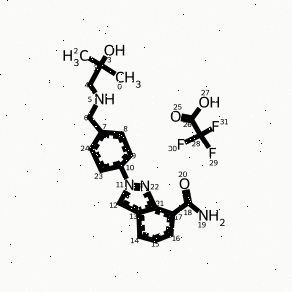 CC(C)(O)CNCc1ccc(-n2cc3cccc(C(N)=O)c3n2)cc1.O=C(O)C(F)(F)F